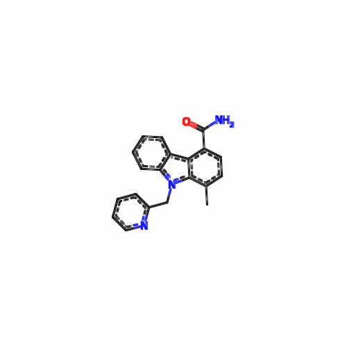 Cc1ccc(C(N)=O)c2c3ccccc3n(Cc3ccccn3)c12